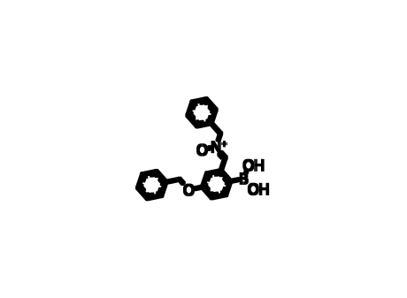 [O-]/[N+](=C\c1cc(OCc2ccccc2)ccc1B(O)O)Cc1ccccc1